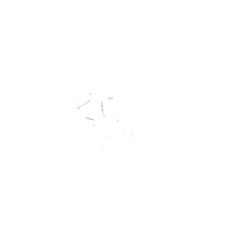 CC(CC(=O)O)Oc1ccc(Cl)cc1Cl